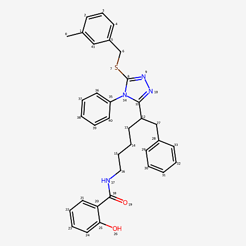 Cc1cccc(CSc2nnc(C(CCCCNC(=O)c3ccccc3O)Cc3ccccc3)n2-c2ccccc2)c1